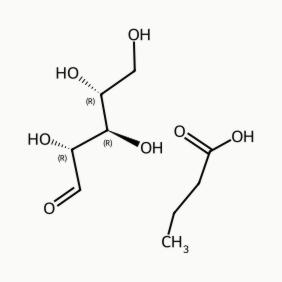 CCCC(=O)O.O=C[C@H](O)[C@H](O)[C@H](O)CO